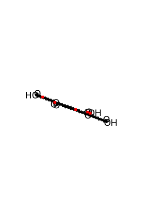 O=C(O)CCCCCCCCCCCCC(=O)OC(=O)CCCCCCCCCCCCCCCCCCCCC(=O)OC(CCCCCCCCCCCC(=O)O)C(=O)O